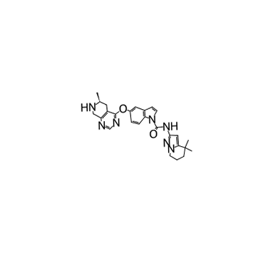 C[C@H]1Cc2c(ncnc2Oc2ccc3c(ccn3C(=O)Nc3cc4n(n3)CCCC4(C)C)c2)CN1